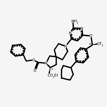 CCOC(=O)[C@@H]1CC2(CCN(c3cc(O[C@H](c4ccc(C5CCCCC5)cc4)C(F)(F)F)nc(N)n3)CC2)CN1C(=O)OCc1ccccc1